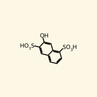 O=S(=O)(O)c1cc2cccc(S(=O)(=O)O)c2cc1O